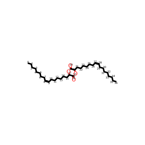 CCCCCCCC/C=C\CCCCCCC1OC(=O)C(CCCCCC/C=C\CCCCCCCC)OC1=O